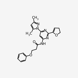 Cc1cc(C)n(-c2cc(NC(=O)CCOc3ccccc3)nc(C3=CCCO3)n2)n1